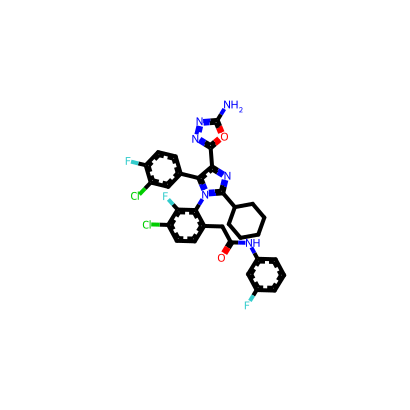 Nc1nnc(-c2nc(C3CCCCC3)n(-c3c(CC(=O)Nc4cccc(F)c4)ccc(Cl)c3F)c2-c2ccc(F)c(Cl)c2)o1